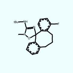 CN1OC2(N=C1NC(C)(C)C)c1ccccc1CCCc1c(F)cccc12